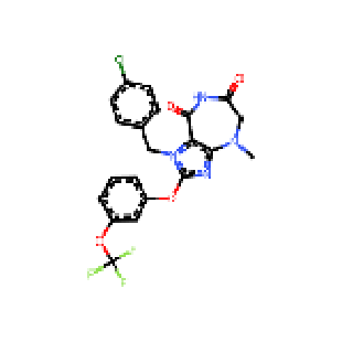 CN1CC(=O)NC(=O)c2c1nc(Oc1cccc(OC(F)(F)F)c1)n2Cc1ccc(Cl)cc1